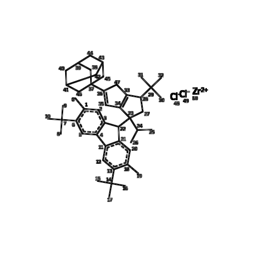 Cc1cc2c(cc1C(C)(C)C)-c1cc(C(C)(C)C)c(C)cc1C2C1(C(C)C)CC(C(C)(C)C)C2=C1C=C(C13CC4CC(CC(C4)C1)C3)C2.[Cl-].[Cl-].[Zr+2]